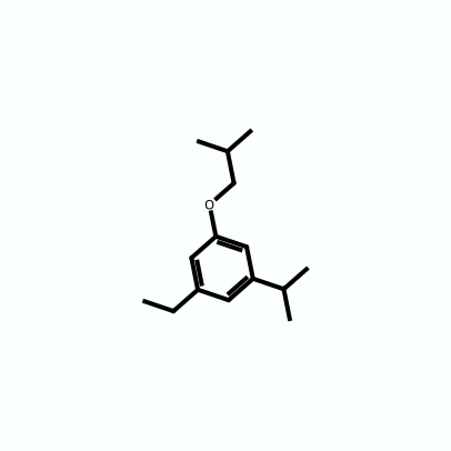 CCc1cc(OCC(C)C)cc([C](C)C)c1